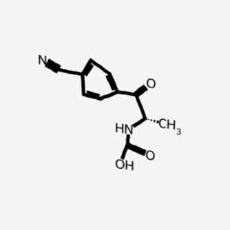 C[C@H](NC(=O)O)C(=O)c1ccc(C#N)cc1